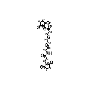 O=C(CCN1C(=O)CCC1=O)NCCOCCOCCC(=O)ON1C(=O)CCC1=O